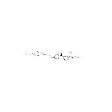 COC1CCN(CCCON=Cc2ccn3c(-c4cccc(NC(=O)NCC(F)(F)F)c4)cnc3c2)CC1